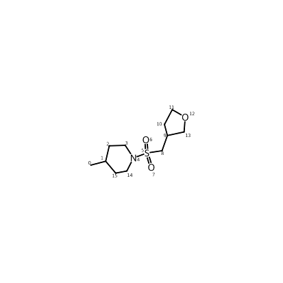 CC1CCN(S(=O)(=O)CC2CCOC2)CC1